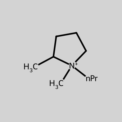 CCC[N+]1(C)CCCC1C